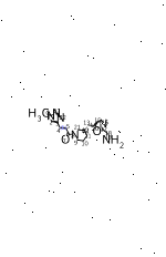 Cn1cc(/C=C/C(=O)N2CCC[C@@H](Cc3cnc(CN)o3)C2)nn1